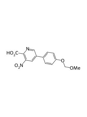 COCOc1ccc(-c2cnc(C(=O)O)c([N+](=O)[O-])c2)cc1